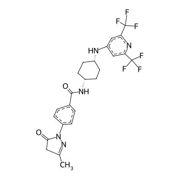 CC1=NN(c2ccc(C(=O)N[C@H]3CC[C@@H](Nc4cc(C(F)(F)F)nc(C(F)(F)F)c4)CC3)cc2)C(=O)C1